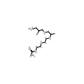 CC(COCC(F)CN)OCCOCCOC(N)=O